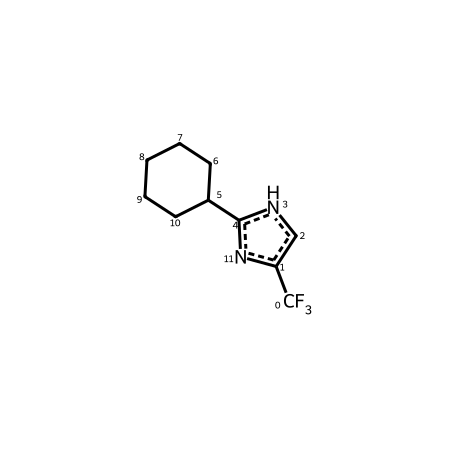 FC(F)(F)c1c[nH]c(C2CCCCC2)n1